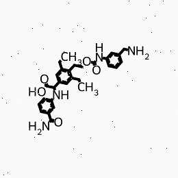 CCc1cc(C(Nc2cccc(C(N)=O)c2)C(=O)O)cc(CC)c1CCOC(=O)Nc1cccc(CN)c1